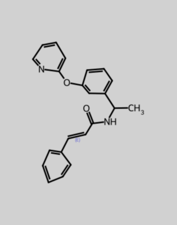 CC(NC(=O)/C=C/c1ccccc1)c1cccc(Oc2ccccn2)c1